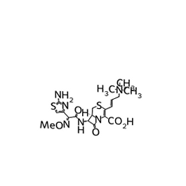 CON=C(C(=O)N[C@@H]1C(=O)N2C(C(=O)O)=C(C=CC[N+](C)(C)C)SC[C@H]12)c1csc(N)n1